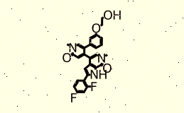 Cn1cc(-c2cccc(OCCO)c2)c(-c2cn(C)c(=O)c3[nH]c(-c4ccc(F)cc4F)cc23)cc1=O